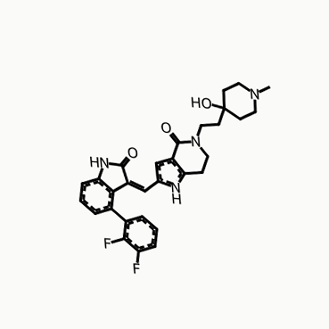 CN1CCC(O)(CCN2CCc3[nH]c(C=C4C(=O)Nc5cccc(-c6cccc(F)c6F)c54)cc3C2=O)CC1